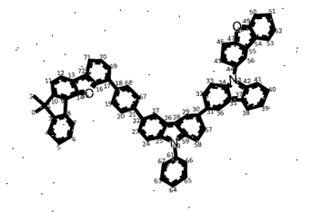 CC1(C)c2ccccc2-c2c1ccc1c2oc2c(-c3ccc(-c4ccc5c(c4)c4cc(-c6ccc7c(c6)c6ccccc6n7-c6ccc7oc8ccccc8c7c6)ccc4n5-c4ccccc4)cc3)cccc21